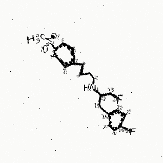 CS(=O)(=O)c1ccc(CCCNC(CF)Cc2ccc(F)cc2)cc1